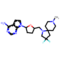 CN1CCC2(CC1)CC(F)(F)CN2CC1CCC(n2ccc3c(N)ncnc32)O1